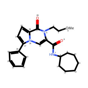 COCCn1c(C(=O)NC2CCCCCC2)cn2c(-c3ccccc3)ccc2c1=O